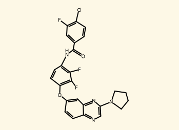 O=C(Nc1ccc(Oc2ccc3ncc(N4CCCC4)nc3c2)c(F)c1F)c1ccc(Cl)c(F)c1